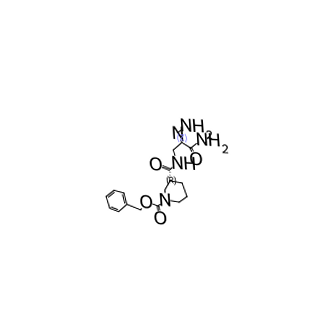 N/N=C(/CNC(=O)[C@@H]1CCCN(C(=O)OCc2ccccc2)C1)C(N)=O